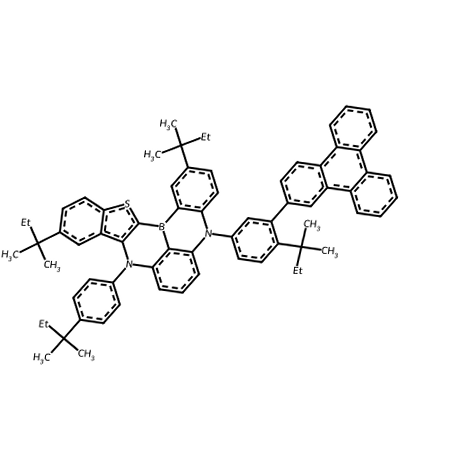 CCC(C)(C)c1ccc(N2c3cccc4c3B(c3cc(C(C)(C)CC)ccc3N4c3ccc(C(C)(C)CC)c(-c4ccc5c6ccccc6c6ccccc6c5c4)c3)c3sc4ccc(C(C)(C)CC)cc4c32)cc1